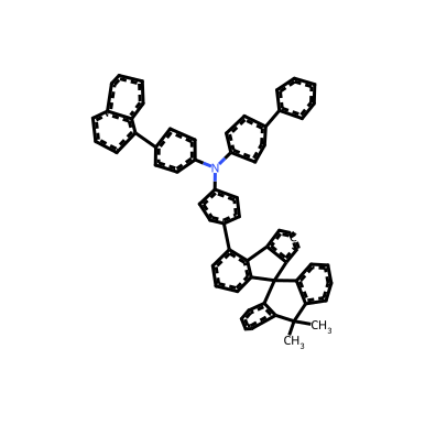 CC1(C)c2ccccc2C2(c3ccccc3-c3c(-c4ccc(N(c5ccc(-c6ccccc6)cc5)c5ccc(-c6cccc7ccccc67)cc5)cc4)cccc32)c2ccccc21